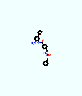 Nc1ccc(-c2cccs2)cc1NC(=O)c1ccc(CNC(=O)OCc2ccccc2)cc1